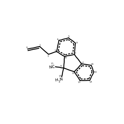 C=CCc1cccc2c1C(N)(C#N)c1ccccc1-2